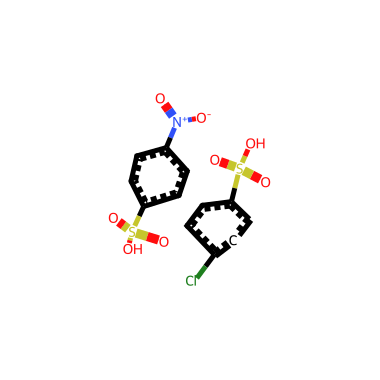 O=S(=O)(O)c1ccc(Cl)cc1.O=[N+]([O-])c1ccc(S(=O)(=O)O)cc1